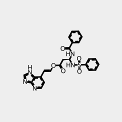 O=C(C[C@@H](NC(=O)c1ccccc1)NS(=O)(=O)c1ccccc1)OC=Cc1ccnc2nc[nH]c12